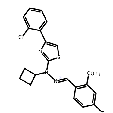 O=C(O)c1cc(F)ccc1/C=N/N(c1nc(-c2ccccc2Cl)cs1)C1CCC1